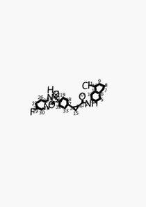 O=C(Nc1ccc2cccc(Cl)c2c1)C1CC1c1ccc(S(=O)(=O)Nc2ccc(F)cn2)cc1